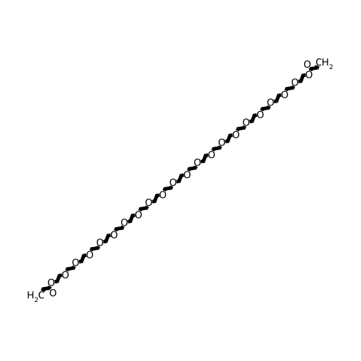 C=CC(=O)OCCOCCOCCOCCOCCOCCOCCOCCOCCOCCOCCOCCOCCOCCOCCOCCOCCOCCOCCOCCOCCOC(=O)C=C